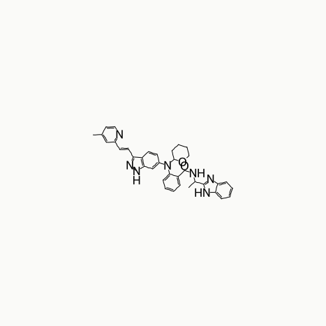 Cc1ccnc(C=Cc2n[nH]c3cc(N(c4ccccc4C(=O)NC(C)c4nc5ccccc5[nH]4)C4CCCCO4)ccc23)c1